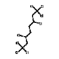 ClC([CH]CC(Cl)CC(Cl)(Cl)Cl)CC(Cl)(Cl)Cl